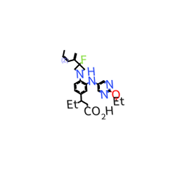 C=C(/C=C\C)C1(F)CN(c2ccc(C(CC)CC(=O)O)cc2Nc2cnc(OCC)nc2)C1